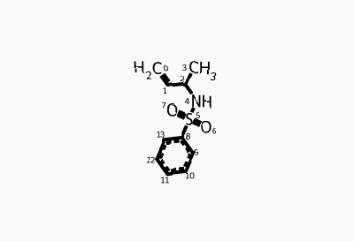 C=CC(C)NS(=O)(=O)c1ccccc1